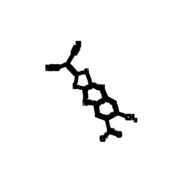 Cc1cc2nc3c(nc2cc1[N+](=O)[O-])SC(=C(C#N)C#N)S3